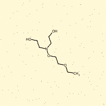 CCOCCON(CCO)CCO